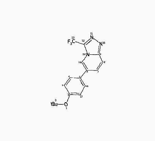 CC(C)(C)Oc1ccc(-c2ccc3nnc(C(F)(F)F)n3c2)cc1